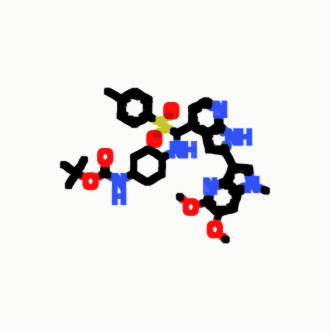 COc1cc2c(nc1OC)c(-c1cc3c(C(NC4CCC(NC(=O)OC(C)(C)C)CC4)S(=O)(=O)c4ccc(C)cc4)ccnc3[nH]1)cn2C